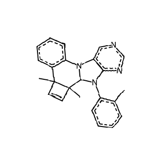 Cc1ccccc1N1c2ncncc2N2c3ccccc3C3(C)C=CC3(C)C21